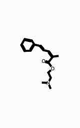 CC(=CC=Cc1ccccc1)C(=O)OCCN(C)C